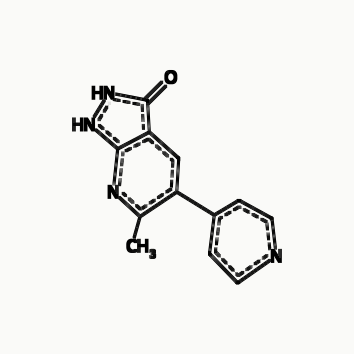 Cc1nc2[nH][nH]c(=O)c2cc1-c1ccncc1